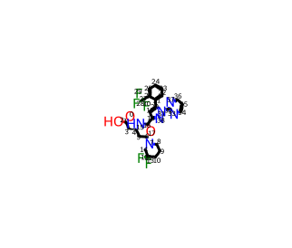 O=C(O)C[C@H](CCN1CCCC(F)(F)C1)NC(=O)c1cc(-c2ccccc2C(F)(F)F)n(-c2ncccn2)n1